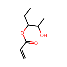 C=CC(=O)OC(CC)C(C)O